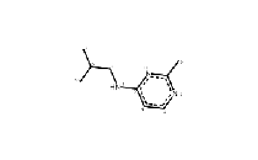 Cc1nccc(NCC(C)C)n1